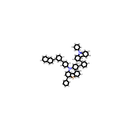 c1ccc(-c2ccc(N(c3ccc(-c4cccc(-c5ccc6ccccc6c5)c4)cc3)c3ccc(-c4ccccc4-c4cccc5c4c4ccccc4n5-c4ccccc4)cc3)c3c2sc2ccccc23)cc1